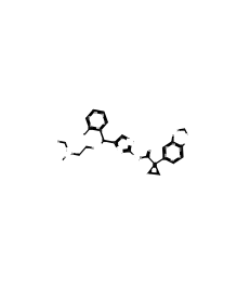 CN(CO)CCOC(c1cnc(NC(=O)C2(c3ccc4c(c3)OCO4)CC2)s1)c1ccccc1Cl